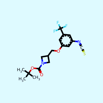 CC(C)(C)OC(=O)N1CC(COc2cc(N=C=S)cc(C(F)(F)F)c2)C1